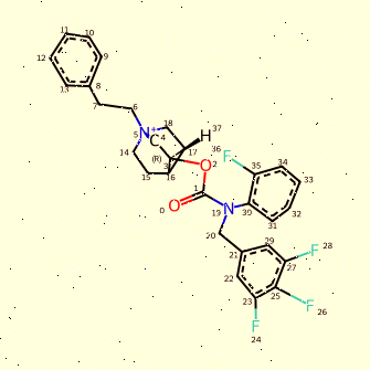 O=C(O[C@H]1C[N+]2(CCc3ccccc3)CCC1CC2)N(Cc1cc(F)c(F)c(F)c1)c1ccccc1F